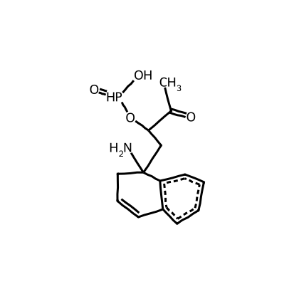 CC(=O)C(CC1(N)CC=Cc2ccccc21)O[PH](=O)O